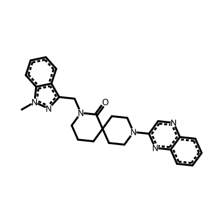 Cn1nc(CN2CCCC3(CCN(c4cnc5ccccc5n4)CC3)C2=O)c2ccccc21